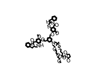 COCCOCCOCCN(CC(C)(C)SSCCCC(=O)ON1C(=O)CCC1=O)c1cc(COc2cc3c(cc2OC)C(=O)N2c4ccccc4C[C@H]2C=N3)cc(COc2cc3c(cc2OC)C(=O)N2c4ccccc4CC2CN3)c1